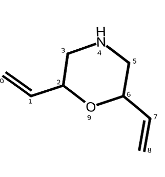 C=CC1CNCC(C=C)O1